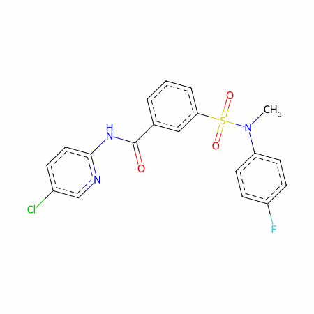 CN(c1ccc(F)cc1)S(=O)(=O)c1cccc(C(=O)Nc2ccc(Cl)cn2)c1